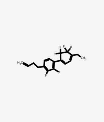 C=CCCc1ccc(C2=CC=C(CC)C(F)(F)C2(F)F)c(F)c1F